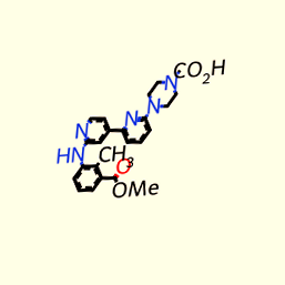 COC(=O)c1cccc(Nc2cc(-c3cccc(N4CCN(C(=O)O)CC4)n3)ccn2)c1C